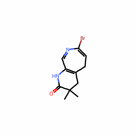 CC1(C)CC2=C(C=NC(Br)=CC2)NC1=O